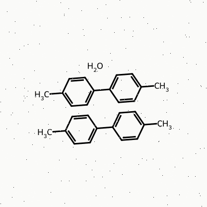 Cc1ccc(-c2ccc(C)cc2)cc1.Cc1ccc(-c2ccc(C)cc2)cc1.O